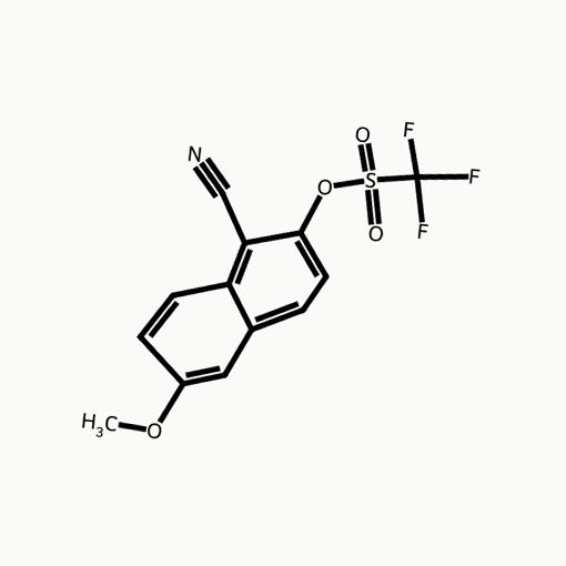 COc1ccc2c(C#N)c(OS(=O)(=O)C(F)(F)F)ccc2c1